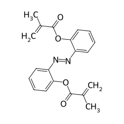 C=C(C)C(=O)Oc1ccccc1N=Nc1ccccc1OC(=O)C(=C)C